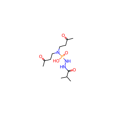 CC(=O)CCN(CCC(C)=O)P(=O)(O)NNC(=O)C(C)C